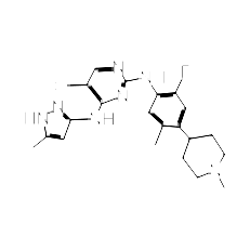 Cc1cc(Nc2nc(Nc3cc(C)c(C4CCN(C)CC4)cc3F)ncc2Cl)n[nH]1